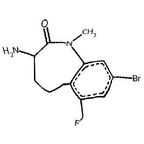 CN1C(=O)C(N)CCc2c(F)cc(Br)cc21